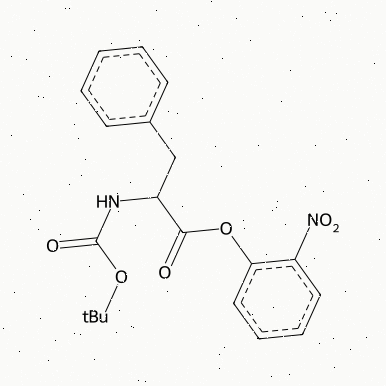 CC(C)(C)OC(=O)NC(Cc1ccccc1)C(=O)Oc1ccccc1[N+](=O)[O-]